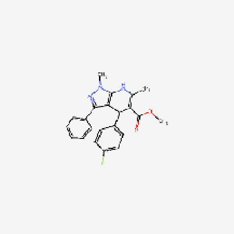 COC(=O)C1=C(C)Nc2c(c(-c3ccccc3)nn2C)C1c1ccc(F)cc1